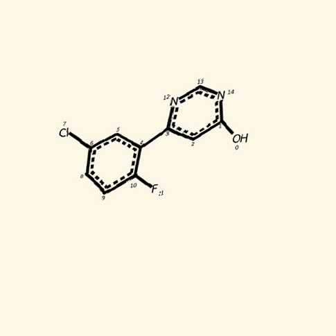 Oc1cc(-c2cc(Cl)ccc2F)ncn1